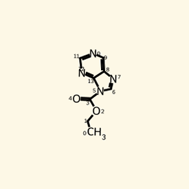 CCOC(=O)n1cnc2cncnc21